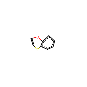 [c]1ccc2c(c1)OC=CS2